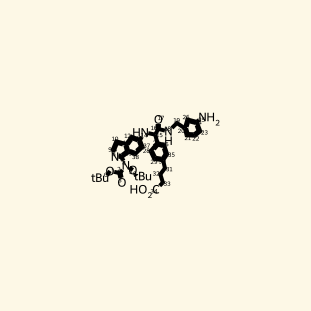 CC(C)(C)OC(=O)N(OC(C)(C)C)c1nccc2cc(NC(C(=O)NCc3cccc(N)c3)c3ccc(CCCC(=O)O)cc3)ccc12